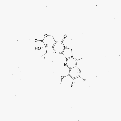 CC[C@@]1(O)C(=O)OCc2c1cc1n(c2=O)Cc2c-1nc1c(OC)c(F)c(F)cc1c2C